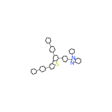 c1ccc(-c2ccc(-c3ccc4sc5c(-c6ccc(-c7nc8ccccc8n7-c7ccccc7)cc6)cc(-c6ccc(-c7ccccc7)cc6)cc5c4c3)cc2)cc1